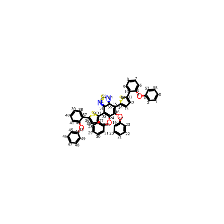 c1ccc(Oc2ccccc2-c2ccc(-c3c(Oc4ccccc4)c(Oc4ccccc4)c(-c4ccc(-c5ccccc5Oc5ccccc5)s4)c4nsnc34)s2)cc1